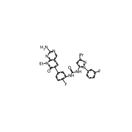 CCn1c(=O)c(-c2ccc(F)c(NC(=O)Nc3cc(C(C)C)nn3-c3cccc(F)c3)c2)cc2cnc(N)nc21